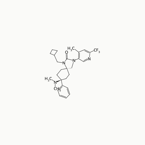 Cc1cc(C(F)(F)F)ncc1N1C[C@]2(CC[C@](c3ccccc3)(N(C)C)CC2)N(CC2CCC2)C1=O